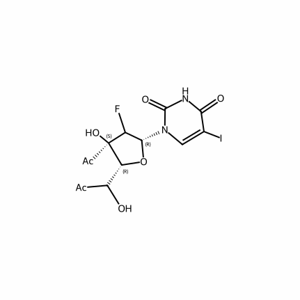 CC(=O)C(O)[C@H]1O[C@@H](n2cc(I)c(=O)[nH]c2=O)C(F)[C@@]1(O)C(C)=O